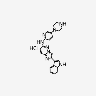 Cl.c1ccc2c(-c3cn4nc(Nc5ccc(N6CCNCC6)cn5)ccc4n3)c[nH]c2c1